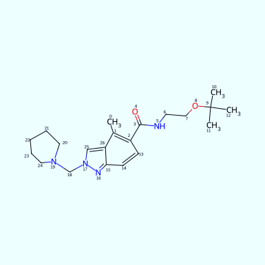 Cc1c(C(=O)NCCOC(C)(C)C)ccc2nn(CN3CCCCC3)cc12